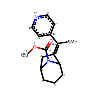 CSC(=C1CC2CCCC1N2C(=O)OC(C)(C)C)c1ccncc1